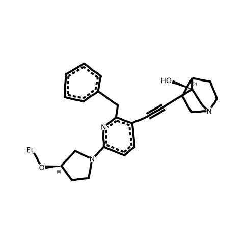 CCO[C@@H]1CCN(c2ccc(C#C[C@@]3(O)CN4CCC3CC4)c(Cc3ccccc3)n2)C1